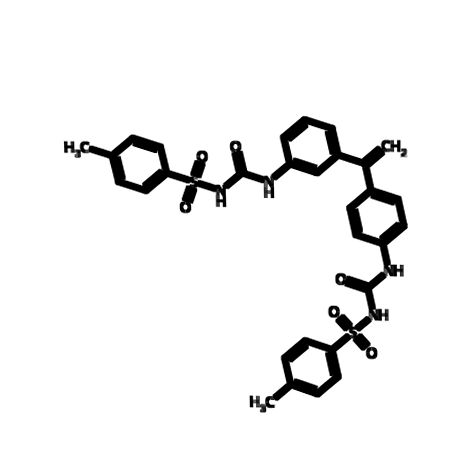 C=C(c1ccc(NC(=O)NS(=O)(=O)c2ccc(C)cc2)cc1)c1cccc(NC(=O)NS(=O)(=O)c2ccc(C)cc2)c1